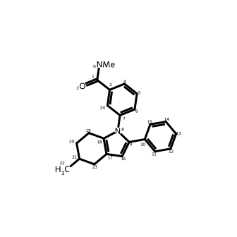 CNC(=O)c1cccc(-n2c(-c3ccccc3)cc3c2CCC(C)C3)c1